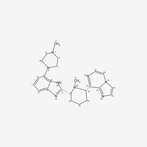 CN1CCN(c2cccc3nc([C@H]4CCC[C@@H](c5nccn6ccnc56)N4C)[nH]c23)CC1